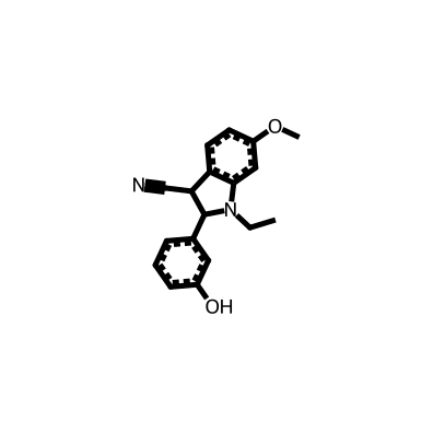 CCN1c2cc(OC)ccc2C(C#N)C1c1cccc(O)c1